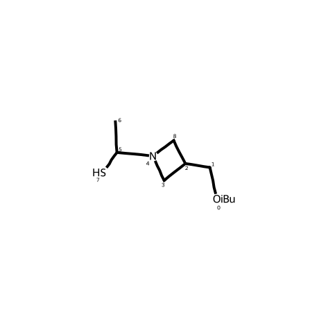 CC(C)COCC1CN(C(C)S)C1